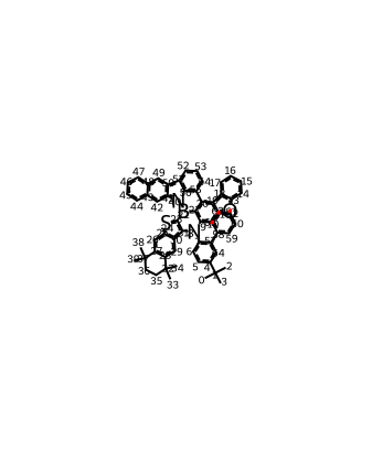 CC(C)(C)c1ccc(N2c3cc4oc5ccccc5c4c4c3B(c3sc5cc6c(cc5c32)C(C)(C)CCC6(C)C)n2c3cc5ccccc5cc3c3cccc-4c32)c(-c2ccccc2)c1